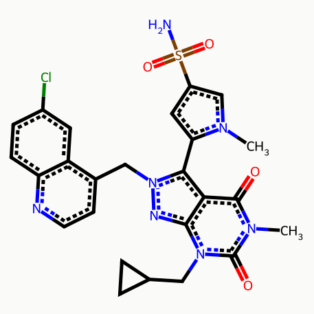 Cn1cc(S(N)(=O)=O)cc1-c1c2c(=O)n(C)c(=O)n(CC3CC3)c2nn1Cc1ccnc2ccc(Cl)cc12